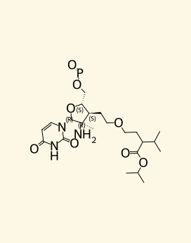 CC(C)OC(=O)C(CCOCC[C@@H]1[C@@H](COP=O)O[C@@H](n2ccc(=O)[nH]c2=O)[C@]1(C)N)C(C)C